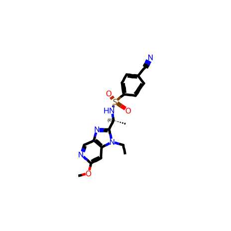 CCn1c([C@@H](C)NS(=O)(=O)c2ccc(C#N)cc2)nc2cnc(OC)cc21